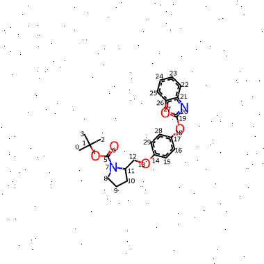 CC(C)(C)OC(=O)N1CCCC1COc1ccc(Oc2nc3ccccc3o2)cc1